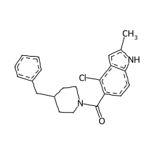 Cc1cc2c(Cl)c(C(=O)N3CCC(Cc4ccccc4)CC3)ccc2[nH]1